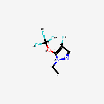 CCn1n[c]c(F)c1OC(F)(F)F